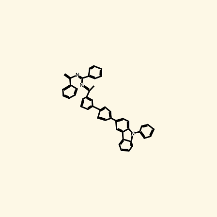 C=C(/N=C(\N=C(/C)c1cccc(-c2ccc(-c3ccc4c(c3)c3ccccc3n4-c3ccccc3)cc2)c1)c1ccccc1)c1ccccc1